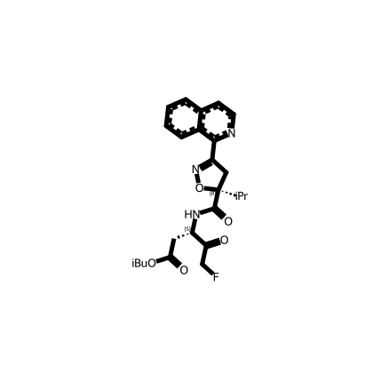 CC(C)COC(=O)C[C@H](NC(=O)[C@]1(C(C)C)CC(c2nccc3ccccc23)=NO1)C(=O)CF